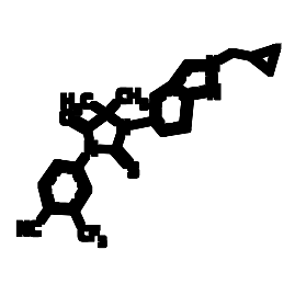 CC1(C)C(=O)N(c2ccc(C#N)c(C(F)(F)F)c2)C(=S)N1c1ccc2nn(CC3CC3)cc2c1